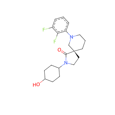 O=C1N(C2CCC(O)CC2)CC[C@@]12CCCN(c1cccc(F)c1F)C2